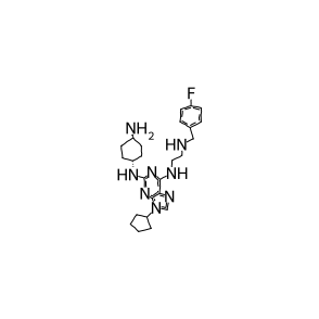 N[C@H]1CC[C@H](Nc2nc(NCCNCc3ccc(F)cc3)c3ncn(C4CCCC4)c3n2)CC1